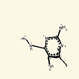 CCCCNc1nc(N)nc(C)c1S